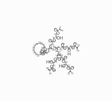 C=C(C)C(=O)OCC(O)COC(=O)CCN(CCC[Si]12OC3CCCCCCCCCCC(CC(C3)O1)O2)CCN(CCC(=O)OCC(O)COC(=O)C(=C)C)CCN(CCC(=O)OCC(O)COC(=O)C(=C)C)CC(=O)OCC(O)COC(=O)C(=C)C